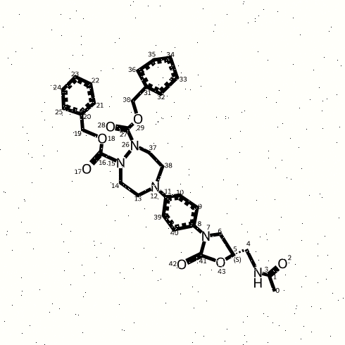 CC(=O)NC[C@H]1CN(c2ccc(N3CCN(C(=O)OCc4ccccc4)N(C(=O)OCc4ccccc4)CC3)cc2)C(=O)O1